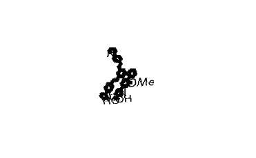 COc1cc(-c2ccc(C(O)(O)O)cn2)ccc1-c1ccccc1-c1cc(CCc2ccc(-c3ccccn3)cc2)cc(CCc2ccc(-c3ccccn3)cc2)c1